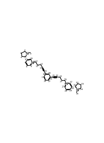 CN1CCC[C@H]1c1ccc[n+](CCCC#Cc2cccc(C#CCCC[n+]3cccc([C@@H]4CCCN4C)c3)c2)c1